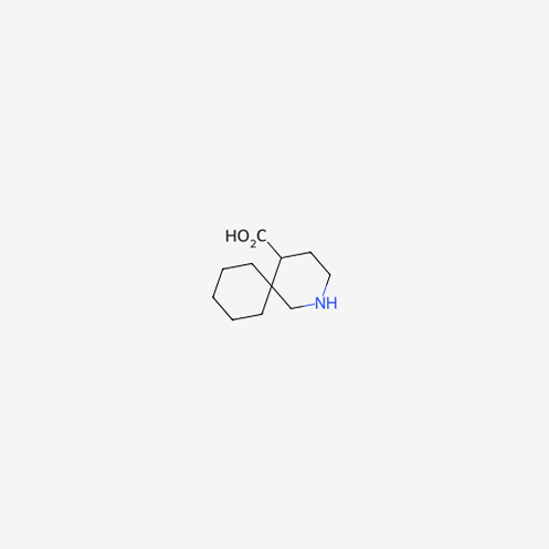 O=C(O)C1CCNCC12CCCCC2